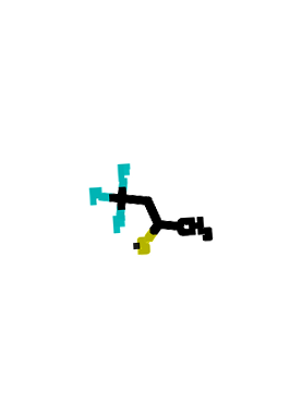 CC([S])CC(F)(F)F